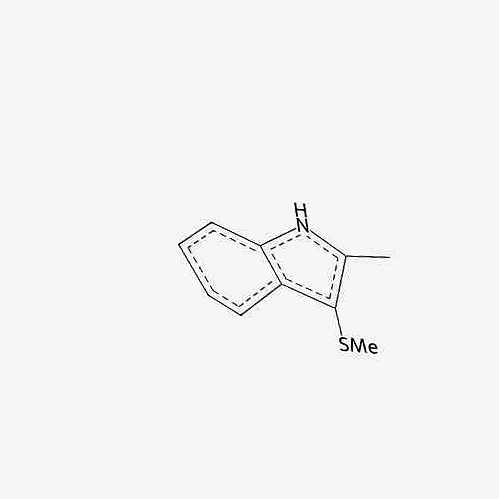 CSc1c(C)[nH]c2ccccc12